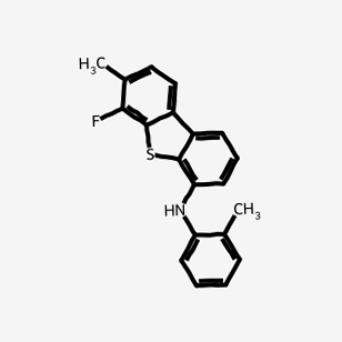 Cc1ccccc1Nc1cccc2c1sc1c(F)c(C)ccc12